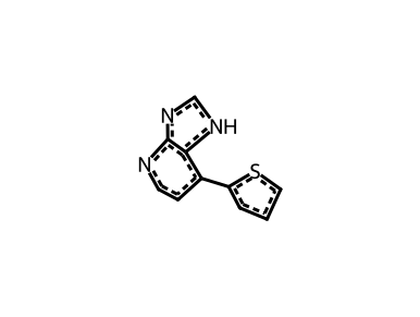 c1csc(-c2ccnc3nc[nH]c23)c1